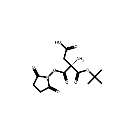 CC(C)(C)OC(=O)[C@](N)(CC(=O)O)C(=O)ON1C(=O)CCC1=O